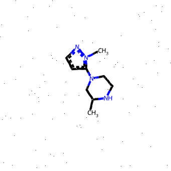 CC1CN(c2ccnn2C)CCN1